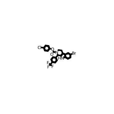 O=C(Oc1ccc(Cl)cc1)N1CCc2c([nH]c3ccc(Br)cc23)C1c1ccc(C(F)(F)F)cc1